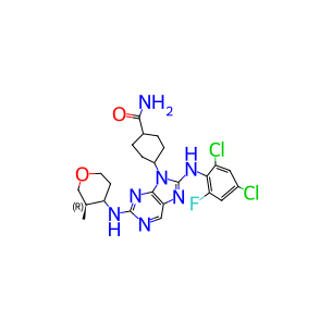 C[C@H]1COCCC1Nc1ncc2nc(Nc3c(F)cc(Cl)cc3Cl)n(C3CCC(C(N)=O)CC3)c2n1